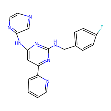 Fc1ccc(CNc2nc(Nc3cnccn3)cc(-c3ccccn3)n2)cc1